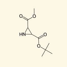 COC(=O)C1NC1C(=O)OC(C)(C)C